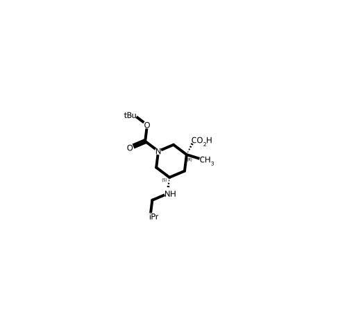 CC(C)CN[C@@H]1CN(C(=O)OC(C)(C)C)C[C@](C)(C(=O)O)C1